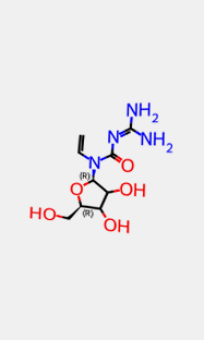 C=CN(C(=O)N=C(N)N)[C@@H]1O[C@H](CO)C(O)C1O